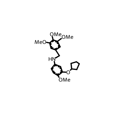 COc1ccc(NCc2cc(OC)c(OC)c(OC)c2)cc1OC1CCCC1